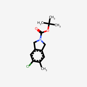 Cc1cc2c(cc1Cl)CN(C(=O)OC(C)(C)C)C2